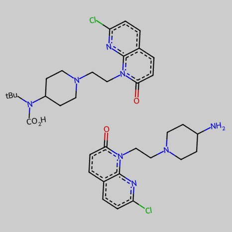 CC(C)(C)N(C(=O)O)C1CCN(CCn2c(=O)ccc3ccc(Cl)nc32)CC1.NC1CCN(CCn2c(=O)ccc3ccc(Cl)nc32)CC1